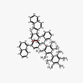 Bc1c(B)c(B)c(-c2c(B)c(B)c(N(c3ccc(-c4cccc5ccccc45)cc3)c3ccccc3-c3cccc4oc5c6ccccc6ccc5c34)c(B)c2B)c(B)c1B